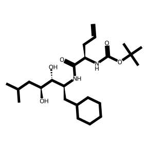 C=CC[C@@H](NC(=O)OC(C)(C)C)C(=O)N[C@@H](CC1CCCCC1)[C@@H](O)[C@@H](O)CC(C)C